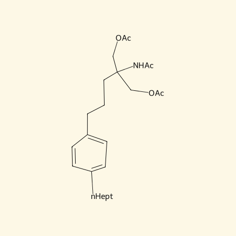 CCCCCCCc1ccc(CCCC(COC(C)=O)(COC(C)=O)NC(C)=O)cc1